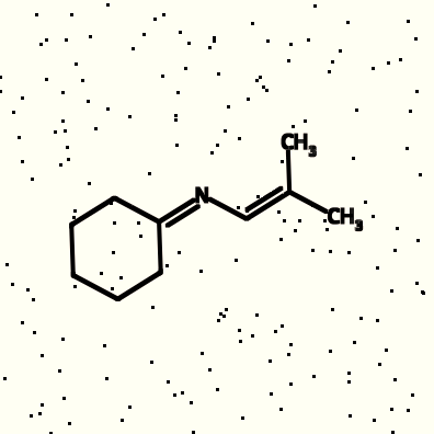 CC(C)=CN=C1CCCCC1